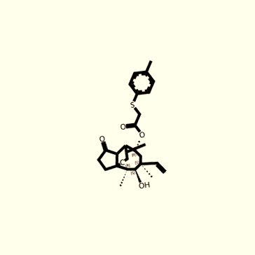 C=C[C@]1(C)C[C@@H](OC(=O)CSc2ccc(C)cc2)C2C(C)CCC3(CCC(=O)C23)[C@@H](C)[C@@H]1O